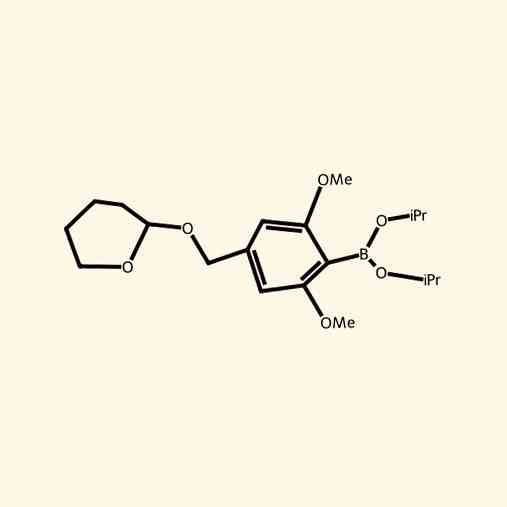 COc1cc(COC2CCCCO2)cc(OC)c1B(OC(C)C)OC(C)C